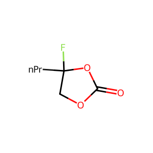 CCCC1(F)COC(=O)O1